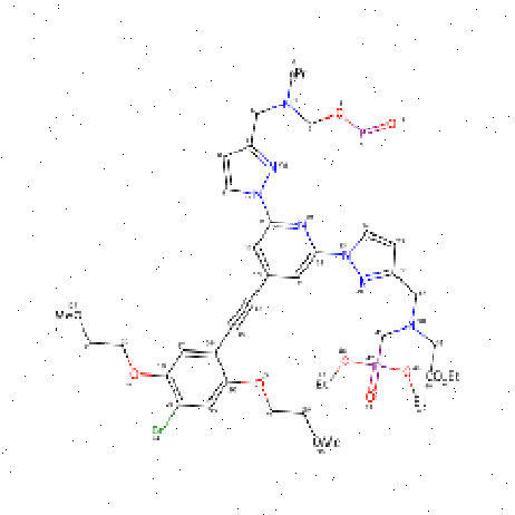 CCCN(COP=O)Cc1ccn(-c2cc(C#Cc3cc(OCCOC)c(Br)cc3OCCOC)cc(-n3ccc(CN(CC(=O)OCC)CP(=O)(OCC)OCC)n3)n2)n1